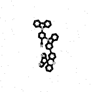 N#Cc1ccc(-n2c3ccccc3c3ccccc32)cc1-n1c2ccccc2c2cc(-c3ccc4c(c3)C3(c5ccccc5O4)c4cccnc4-c4ncccc43)ccc21